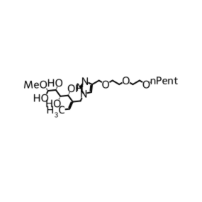 C/C=C(/Cn1cc(COCCOCCOCCCCC)nn1)[C@@H](O)[C@H](O)[C@@H](O)[C@H](O)OC